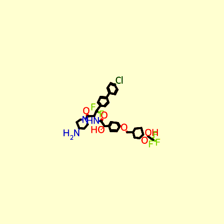 NC1CCN(C(=O)[C@H](NC(=O)[C@@H](O)c2ccc(OCC3CCCCC3)cc2)C(F)(F)c2ccc(-c3ccc(Cl)cc3)cc2)CC1.O=C(O)C(F)(F)F